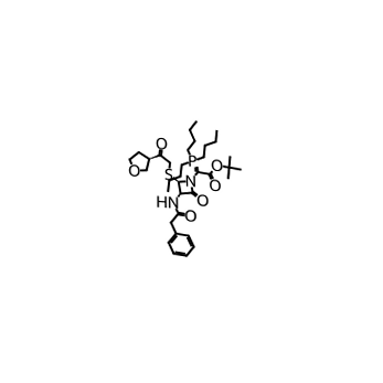 CCCCP(CCCC)(CCCC)=C(C(=O)OC(C)(C)C)N1C(=O)[C@@H](NC(=O)Cc2ccccc2)[C@H]1SCC(=O)[C@@H]1CCOC1